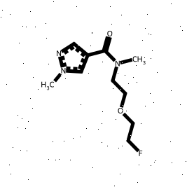 CN(CCOCCF)C(=O)c1cnn(C)c1